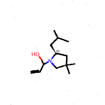 C=CC(O)N1CC(C)(C)C[C@@H]1CC(C)C